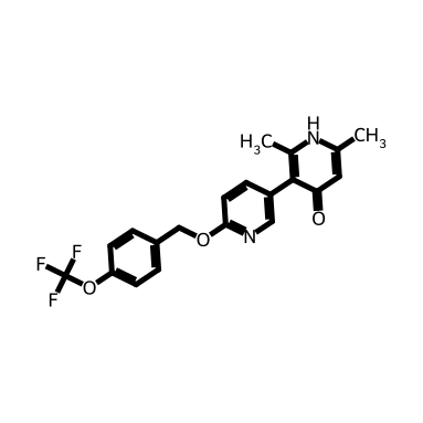 Cc1cc(=O)c(-c2ccc(OCc3ccc(OC(F)(F)F)cc3)nc2)c(C)[nH]1